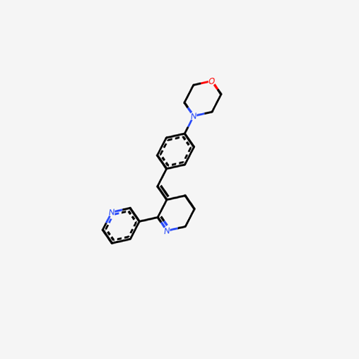 C(=C1CCCN=C1c1cccnc1)c1ccc(N2CCOCC2)cc1